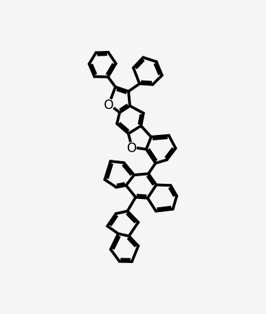 c1ccc(-c2oc3cc4oc5c(-c6c7ccccc7c(-c7ccc8ccccc8c7)c7ccccc67)cccc5c4cc3c2-c2ccccc2)cc1